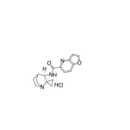 Cl.O=C(N[C@@H]1C2CCN(CC2)C12CC2)c1ccc2occc2n1